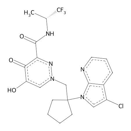 C[C@@H](NC(=O)c1nn(CC2(n3cc(Cl)c4cccnc43)CCCC2)cc(O)c1=O)C(F)(F)F